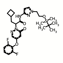 CC(C)(C)[Si](C)(C)OCCn1ccc(NC(=O)C(CC2CCC2)n2ncc(Oc3c(F)cccc3F)cc2=O)n1